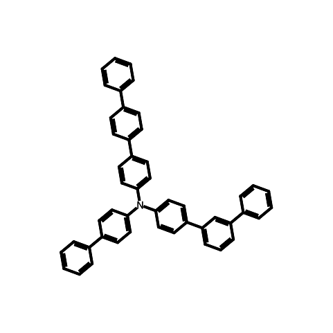 c1ccc(-c2ccc(-c3ccc(N(c4ccc(-c5ccccc5)cc4)c4ccc(-c5cccc(-c6ccccc6)c5)cc4)cc3)cc2)cc1